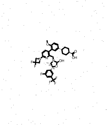 COc1ccc([C@H]2CC[C@H](C(=O)O)CC2)cc1-c1ccc(N2CC(F)(F)C2)nc1CN1C(O)O[C@H](c2cc(F)cc(C(F)(F)F)c2)[C@@H]1C